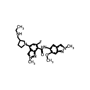 CCNCC1CCN(c2cc(F)c(C(=O)Nc3cc4cn(C)nc4cc3OC)c3nn(C)cc23)C1